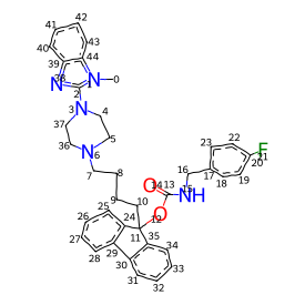 Cn1c(N2CCN(CCCCC3(OC(=O)NCc4ccc(F)cc4)c4ccccc4-c4ccccc43)CC2)nc2ccccc21